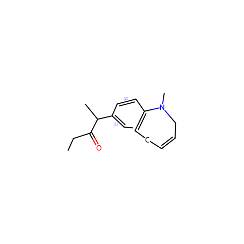 C/C=C(\C=C/C1=CCC=CCN1C)C(C)C(=O)CC